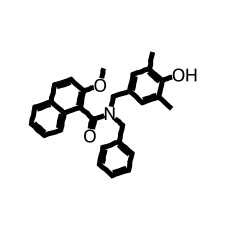 COc1ccc2ccccc2c1C(=O)N(Cc1ccccc1)Cc1cc(C)c(O)c(C)c1